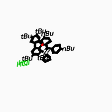 CCCCc1ccc([C](c2ccc(CCCC)cc2)=[Zr]([C]2=CC=CC2)[c]2c3c(cc(C(C)(C)C)c2C(C)(C)C)-c2cc(C(C)(C)C)c(C(C)(C)C)cc2C3)cc1.Cl.Cl